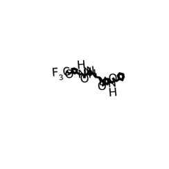 O=C(Cc1ccccc1)Nc1ccn(CCCCn2cc(C(=O)NCc3cccc(OC(F)(F)F)c3)nn2)c(=O)c1